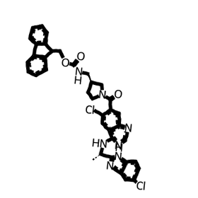 C[C@H](Nc1ncnc2cc(C(=O)N3CC[C@@H](CNC(=O)OCC4c5ccccc5-c5ccccc54)C3)c(Cl)cc12)c1nc2cc(Cl)ccc2[nH]1